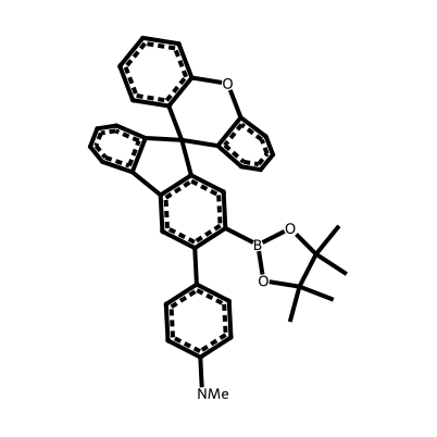 CNc1ccc(-c2cc3c(cc2B2OC(C)(C)C(C)(C)O2)C2(c4ccccc4Oc4ccccc42)c2ccccc2-3)cc1